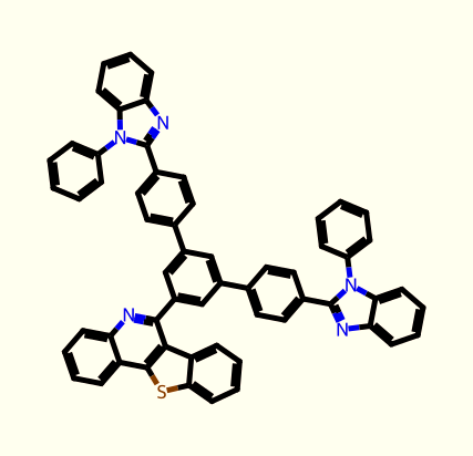 c1ccc(-n2c(-c3ccc(-c4cc(-c5ccc(-c6nc7ccccc7n6-c6ccccc6)cc5)cc(-c5nc6ccccc6c6sc7ccccc7c56)c4)cc3)nc3ccccc32)cc1